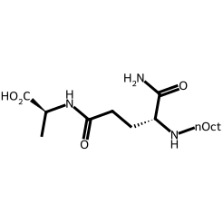 CCCCCCCCN[C@H](CCC(=O)N[C@@H](C)C(=O)O)C(N)=O